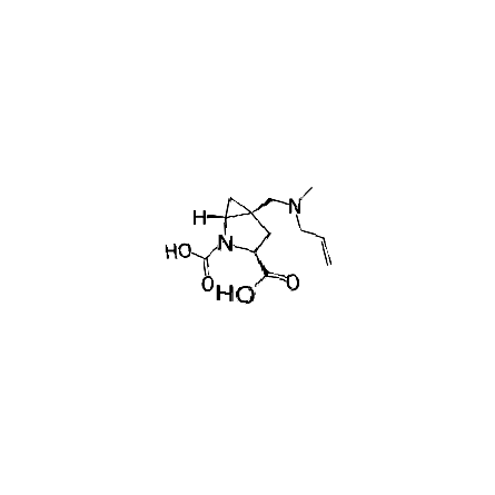 C=CCN(C)C[C@@]12C[C@@H](C(=O)O)N(C(=O)O)[C@@H]1C2